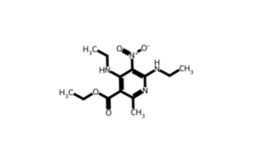 CCNc1nc(C)c(C(=O)OCC)c(NCC)c1[N+](=O)[O-]